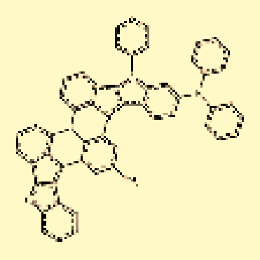 Cc1cc2c3c(c1)-n1c4c(cccc4c4c1c1ccc(N(c5ccccc5)c5ccccc5)cc1n4-c1ccccc1)B3c1cccc3c4oc5ccccc5c4n-2c13